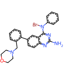 Nc1nc(N(Br)c2ccccc2)c2cc(-c3ccccc3CN3CCOCC3)ccc2n1